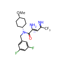 CO[C@H]1CC[C@H](N(Cc2cc(F)cc(F)c2)C(=O)/C(N)=C/C(=N)C(F)(F)F)CC1